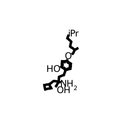 CC(C)CCCC(C)COc1ccc(CCC(N)(CO)CC2CCC2)c(O)c1